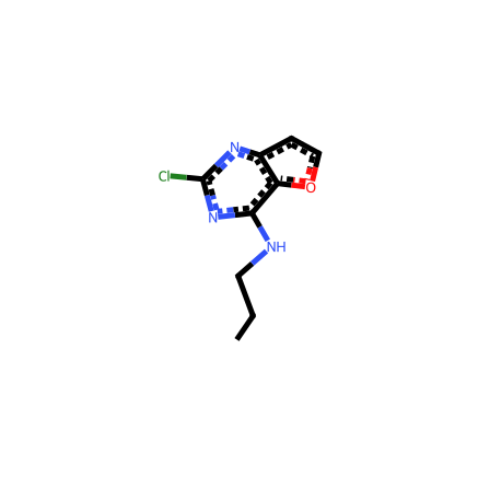 CCCNc1nc(Cl)nc2ccoc12